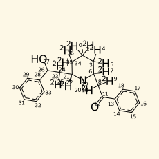 [2H]C1([2H])C([2H])([2H])[C@]([2H])(C([2H])([2H])C(=O)c2ccccc2)N(C)[C@]([2H])(C([2H])([2H])C(O)c2ccccc2)C1([2H])[2H]